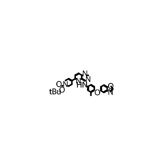 Cc1cc(Nc2ncnc3ccc(C4=CCN(C(=O)OC(C)(C)C)CC4)nc23)ccc1Oc1ccc2ocnc2c1